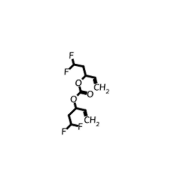 C=CC(CC(F)F)OC(=O)OC(C=C)CC(F)F